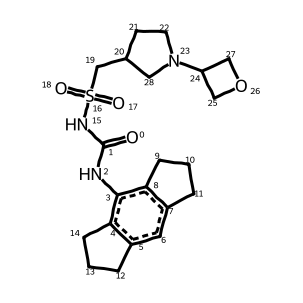 O=C(Nc1c2c(cc3c1CCC3)CCC2)NS(=O)(=O)CC1CCN(C2COC2)C1